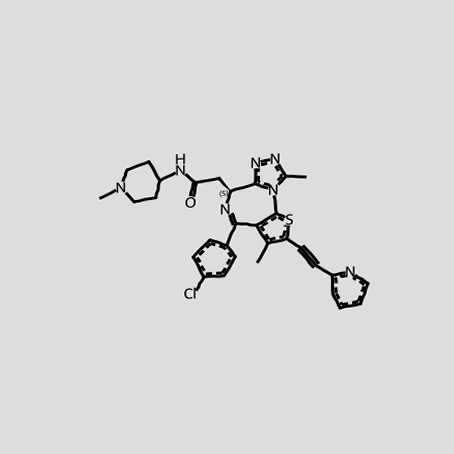 Cc1c(C#Cc2ccccn2)sc2c1C(c1ccc(Cl)cc1)=N[C@@H](CC(=O)NC1CCN(C)CC1)c1nnc(C)n1-2